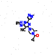 CC(C)Nc1nc(-c2cnn(C)c2)nc(N2CCN(C(=O)C3CC3)[C@H](C)C2)c1C#N